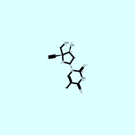 C#C[C@]1(CO)O[C@@H](n2cc(C)c(=O)[nH]c2=O)C[C@@H]1O